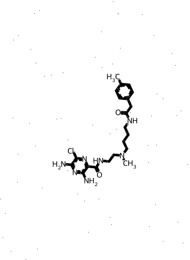 Cc1ccc(CC(=O)NCCCCN(C)CCNC(=O)c2nc(Cl)c(N)nc2N)cc1